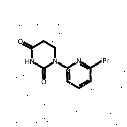 CC(C)c1cccc(N2CCC(=O)NC2=O)n1